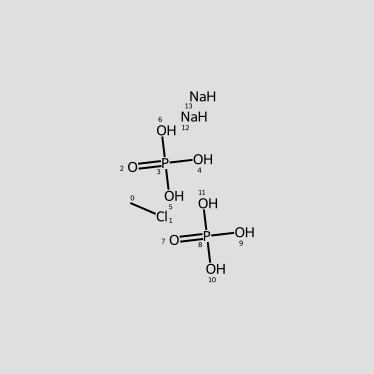 CCl.O=P(O)(O)O.O=P(O)(O)O.[NaH].[NaH]